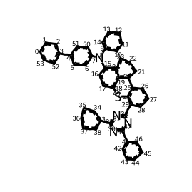 c1ccc(-c2ccc(N(c3ccccc3)c3ccc4c5c(cccc35)-c3cccc(-c5nc(-c6ccccc6)nc(-c6ccccc6)n5)c3S4)cc2)cc1